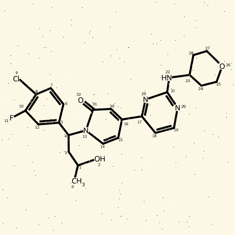 CC(O)CC(c1ccc(Cl)c(F)c1)n1ccc(-c2ccnc(NC3CCOCC3)n2)cc1=O